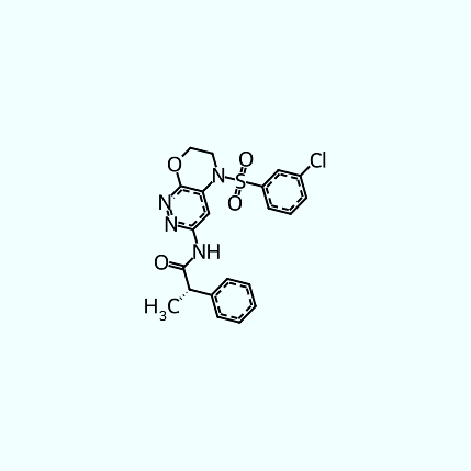 C[C@H](C(=O)Nc1cc2c(nn1)OCCN2S(=O)(=O)c1cccc(Cl)c1)c1ccccc1